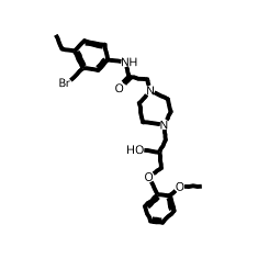 CCc1ccc(NC(=O)CN2CCN(CC(O)COc3ccccc3OC)CC2)cc1Br